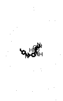 CCc1ccc(-n2cc(-c3ccc4[nH]cc(NS(=O)(=O)c5cnn(C)c5)c4c3)cn2)cc1